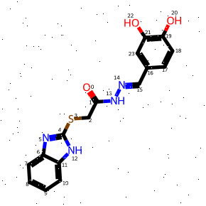 O=C(CSc1nc2ccccc2[nH]1)N/N=C/c1ccc(O)c(O)c1